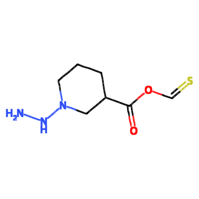 NNN1CCCC(C(=O)OC=S)C1